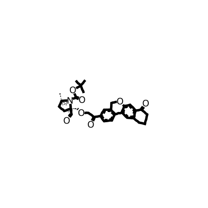 C[C@H]1CC[C@@](C=O)(COCC(=O)c2ccc3c(c2)COc2cc4c(cc2-3)CCCC4=O)N1C(=O)OC(C)(C)C